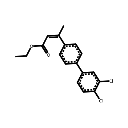 CCOC(=O)/C=C(/C)c1ccc(-c2ccc(Cl)c(Cl)c2)cc1